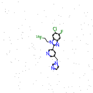 Fc1cc2nc(-c3cncc(Cn4ccnc4)c3)n(CC[18F])c2cc1Cl